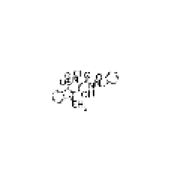 CN1C(C(=O)NN2Cc3ccccc3O2)=C(O)c2c(c3ccccc3n2C)S1(=O)=O